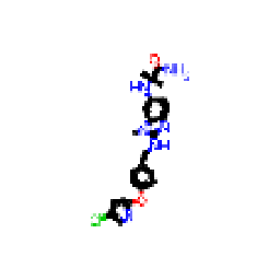 Cn1c(NCc2ccc(Oc3ccc(Cl)cn3)cc2)nc2ccc(NC(C)(C)C(N)=O)cc21